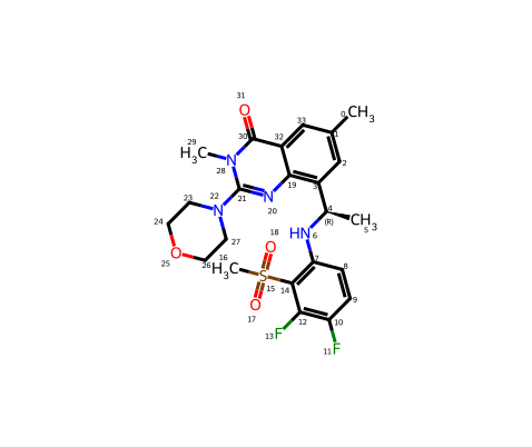 Cc1cc([C@@H](C)Nc2ccc(F)c(F)c2S(C)(=O)=O)c2nc(N3CCOCC3)n(C)c(=O)c2c1